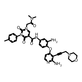 Cc1ccc(-n2c(=O)c(C(=O)Nc3ccc(Oc4ccnc(N)c4C#CCN4CCOCC4)c(P)c3)cn(CC(=O)N(C)C)c2=O)cc1